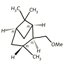 COC[C@H]1[C@H](C)C[C@@H]2C[C@H]1C2(C)C